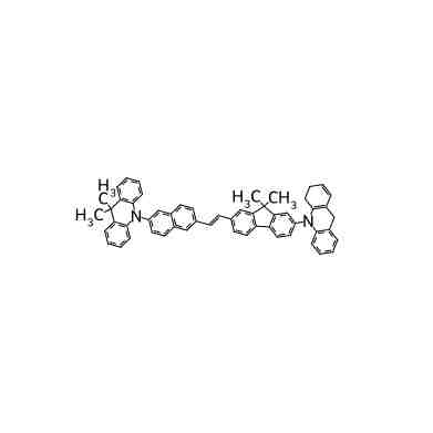 CC1(C)c2cc(/C=C/c3ccc4cc(N5c6ccccc6C(C)(C)c6ccccc65)ccc4c3)ccc2-c2ccc(N3C4=C(C=CCC4)Cc4ccccc43)cc21